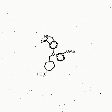 COc1ccc([C@@H]2CCN(C(=O)O)CC[C@H]2COc2ccc3c(c2)C(=O)NC3)cc1